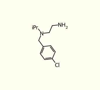 CC(C)N(CCN)Cc1ccc(Cl)cc1